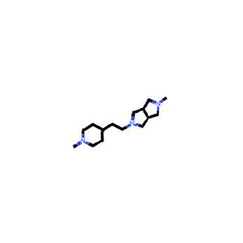 CN1CCC(CCN2CC3CN(C)CC3C2)CC1